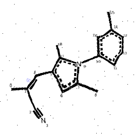 C/C(C#N)=C/c1cc(C)n(-c2cccc(C)c2)c1C